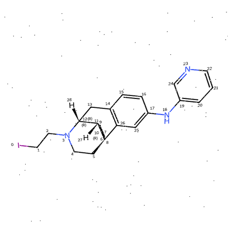 ICCN1CC[C@]23CCCC[C@H]2[C@H]1Cc1ccc(Nc2cccnc2)cc13